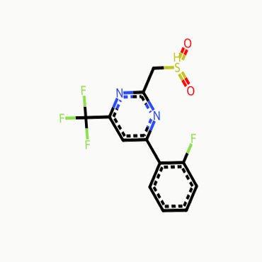 O=[SH](=O)Cc1nc(-c2ccccc2F)cc(C(F)(F)F)n1